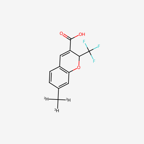 [2H]C([2H])([2H])c1ccc2c(c1)OC(C(F)(F)F)C(C(=O)O)=C2